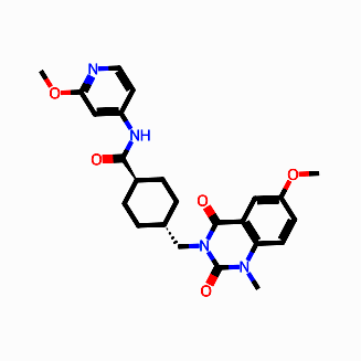 COc1ccc2c(c1)c(=O)n(C[C@H]1CC[C@H](C(=O)Nc3ccnc(OC)c3)CC1)c(=O)n2C